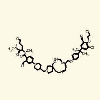 CNC(=O)C(CCC=O)N(C)C(=O)c1ccc(N2CCC(CN3CCC4(CC\N=C/C=C(COc5ccc(C(C)(C)c6cc(Cl)c(OCCCl)c(C#N)c6)cc5)\N=C\NCC4)CC3)CC2)cc1C=O